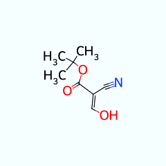 CC(C)(C)OC(=O)/C(C#N)=C/O